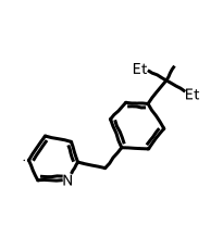 CCC(C)(CC)c1ccc(Cc2cc[c]cn2)cc1